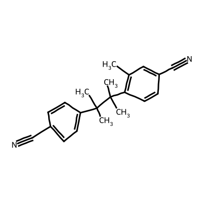 Cc1cc(C#N)ccc1C(C)(C)C(C)(C)c1ccc(C#N)cc1